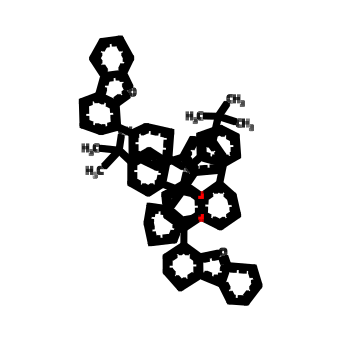 CC(C)(C)c1ccc2c(c1)-c1cc(C(C)(C)C)ccc1C21c2ccccc2-c2cccc(-c3ccccc3N(c3ccc(-c4cccc5c4oc4ccccc45)cc3)c3ccc(-c4cccc5c4oc4ccccc45)cc3)c21